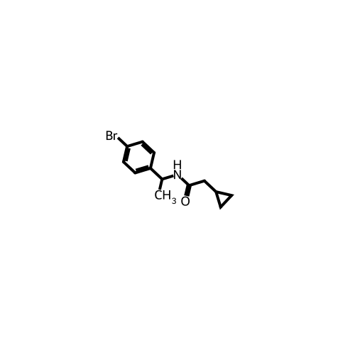 CC(NC(=O)CC1CC1)c1ccc(Br)cc1